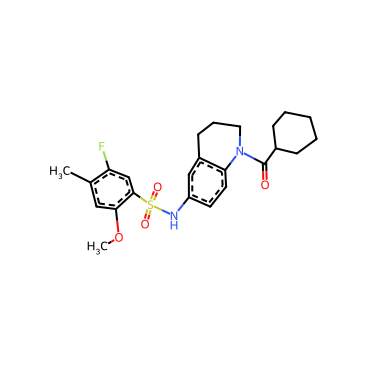 COc1cc(C)c(F)cc1S(=O)(=O)Nc1ccc2c(c1)CCCN2C(=O)C1CCCCC1